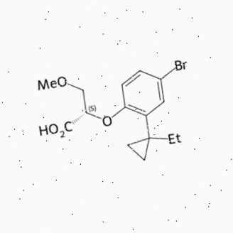 CCC1(c2cc(Br)ccc2O[C@@H](COC)C(=O)O)CC1